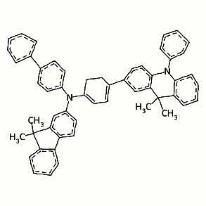 CC1(C)c2ccccc2-c2ccc(N(C3=CC=C(c4ccc5c(c4)C(C)(C)c4ccccc4N5c4ccccc4)CC3)c3ccc(-c4ccccc4)cc3)cc21